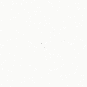 COC(=O)CCC1(c2cc(C)on2)NC(=O)NC1=O